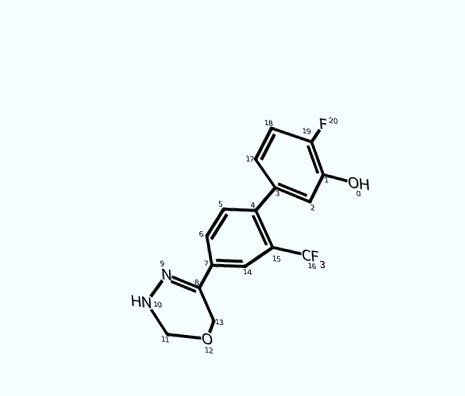 Oc1cc(-c2ccc(C3=NNCOC3)cc2C(F)(F)F)ccc1F